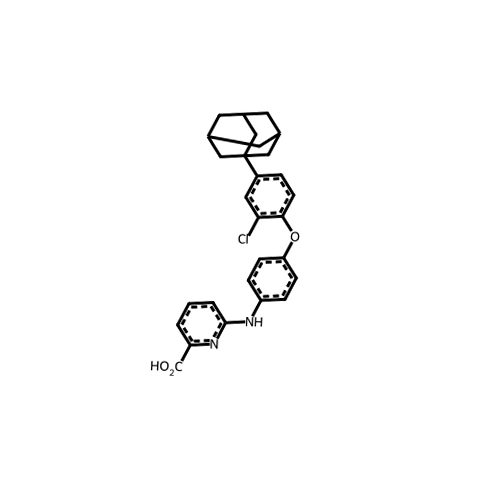 O=C(O)c1cccc(Nc2ccc(Oc3ccc(C45CC6CC(CC(C6)C4)C5)cc3Cl)cc2)n1